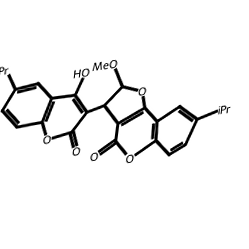 COC1Oc2c(c(=O)oc3ccc(C(C)C)cc23)C1c1c(O)c2cc(C(C)C)ccc2oc1=O